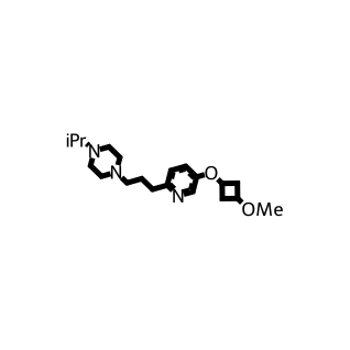 COC1CC(Oc2ccc(CCCN3CCN(C(C)C)CC3)nc2)C1